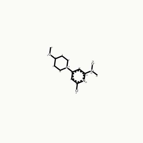 COC1CCN(c2cc(Cl)nc([S+](C)[O-])c2)CC1